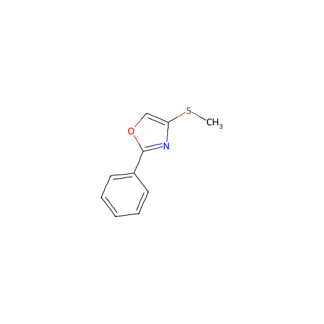 CSc1coc(-c2ccccc2)n1